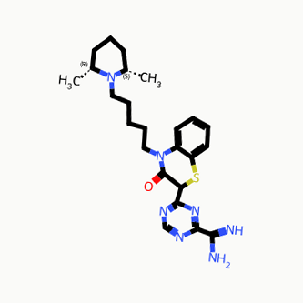 C[C@@H]1CCC[C@H](C)N1CCCCCN1C(=O)C(c2ncnc(C(=N)N)n2)Sc2ccccc21